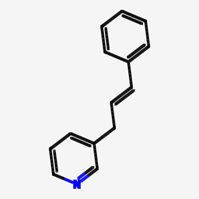 C(=Cc1ccccc1)Cc1cccnc1